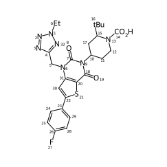 CCn1nnc(Cn2c(=O)n(C3CCN(C(=O)O)C(C(C)(C)C)C3)c(=O)c3sc(-c4ccc(F)cc4)cc32)n1